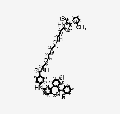 CC1CCCN1C(=O)C(NC(=O)CNCCOCCOCCOCCNC(=O)c1ccc(Nc2ncc3c(n2)-c2ccc(Cl)cc2C(c2c(F)cccc2F)=NC3)cc1)C(C)(C)C